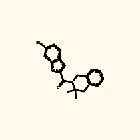 CC1(C)Cc2ccccc2CN1C(=O)c1cc2ccc(Br)cn2n1